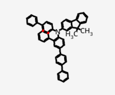 CC1(C)c2ccccc2-c2ccc(N(c3ccc(-c4ccccc4)cc3)c3ccc(-c4ccc(-c5ccccc5)cc4)cc3-c3ccccc3)cc21